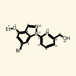 CCOc1cc(Br)cc2c1cnn2-c1cccc(CO)n1